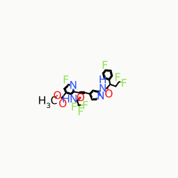 COC(=O)c1cc(F)nc(C#Cc2ccnc(NC(=O)C(CC(F)F)c3ccc(F)cc3)c2)c1NC(=O)C(F)(F)F